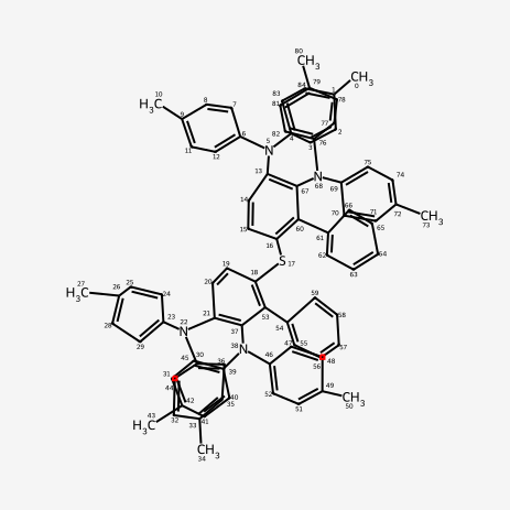 Cc1ccc(N(c2ccc(C)cc2)c2ccc(Sc3ccc(N(c4ccc(C)cc4)c4ccc(C)cc4)c(N(c4ccc(C)cc4)c4ccc(C)cc4)c3-c3ccccc3)c(-c3ccccc3)c2N(c2ccc(C)cc2)c2ccc(C)cc2)cc1